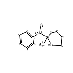 CC1([SiH](Cl)c2ccccc2)CCCCO1